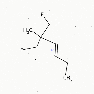 [CH2]C/C=C/C(C)(CF)CF